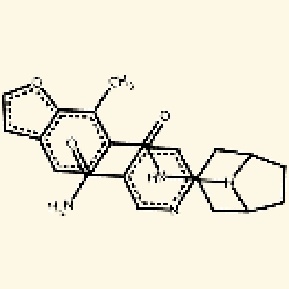 Cc1c(C(=O)NC2CC3CCC(C2)N3c2ccc(C(N)=O)cn2)ccc2ccoc12